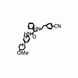 COC1CCN(c2ccc(NC(=O)C(CNCCc3ccc(C#N)cc3)c3ccccc3)nc2)CC1